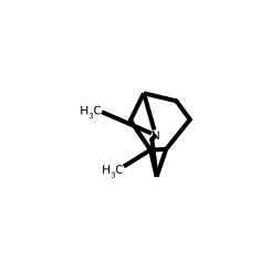 CN1CC2C3CCC1CC32C